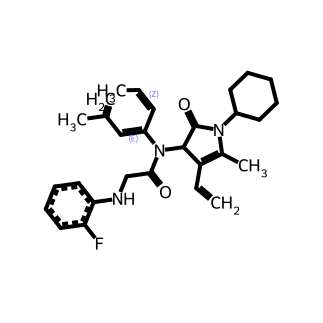 C=CC1=C(C)N(C2CCCCC2)C(=O)C1N(C(=O)CNc1ccccc1F)C(/C=C\C)=C/C(=C)C